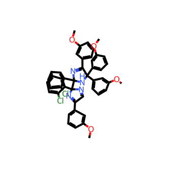 COc1cccc(C2=NC(c3ccccc3Cl)(C3(c4ccccc4Cl)N=C(c4cccc(OC)c4)C(c4cccc(OC)c4)(c4cccc(OC)c4)N3)N=C2)c1